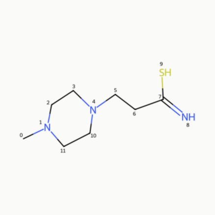 CN1CCN(CCC(=N)S)CC1